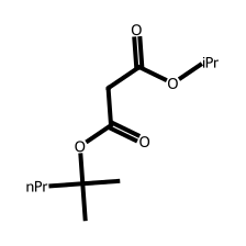 CCCC(C)(C)OC(=O)CC(=O)OC(C)C